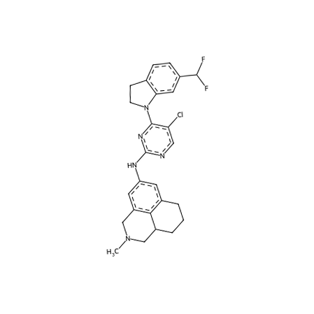 CN1Cc2cc(Nc3ncc(Cl)c(N4CCc5ccc(C(F)F)cc54)n3)cc3c2C(CCC3)C1